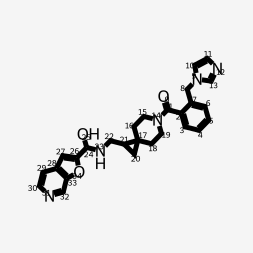 O=C(c1ccccc1Cn1ccnc1)N1CCC2(CC1)CC2CNC(O)c1cc2ccncc2o1